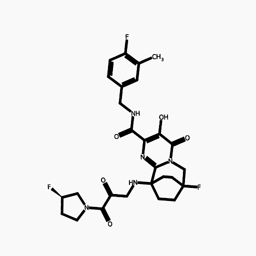 Cc1cc(CNC(=O)c2nc3n(c(=O)c2O)CC2(F)CCC3(NCC(=O)C(=O)N3CC[C@@H](F)C3)CC2)ccc1F